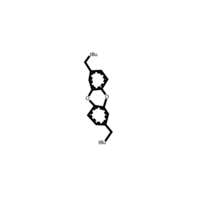 CC(C)(C)Cc1ccc2c(c1)Oc1ccc(CC(C)(C)C)cc1O2